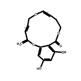 C=C1/C=C/CC/C=C/CCOC(=O)c2c(O)cc(O)cc2C1